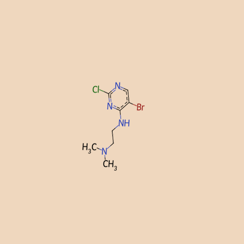 CN(C)CCNc1nc(Cl)ncc1Br